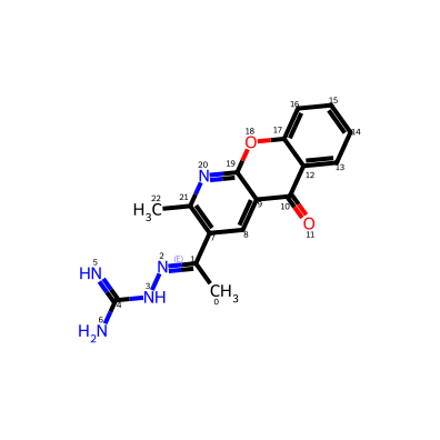 C/C(=N\NC(=N)N)c1cc2c(=O)c3ccccc3oc2nc1C